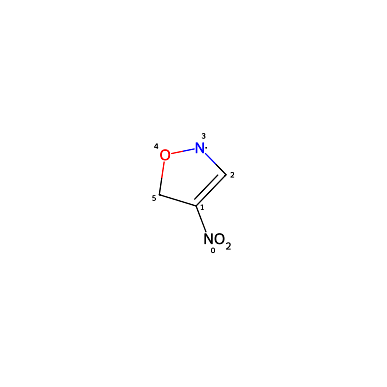 O=[N+]([O-])C1=C[N]OC1